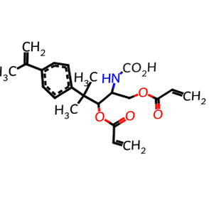 C=CC(=O)OCC(NC(=O)O)C(OC(=O)C=C)C(C)(C)c1ccc(C(=C)C)cc1